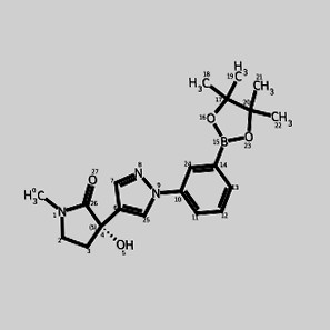 CN1CC[C@](O)(c2cnn(-c3cccc(B4OC(C)(C)C(C)(C)O4)c3)c2)C1=O